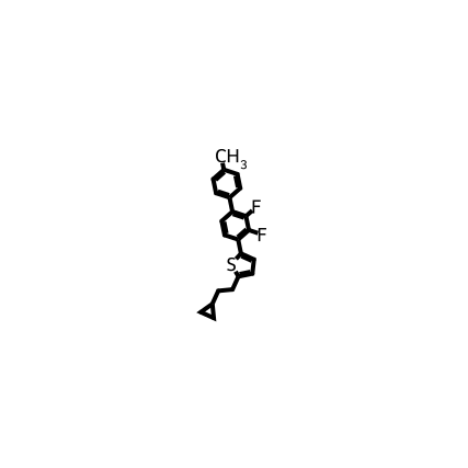 Cc1ccc(-c2ccc(-c3ccc(CCC4CC4)s3)c(F)c2F)cc1